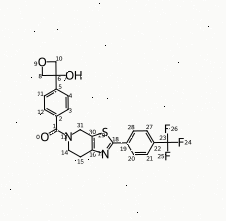 O=C(c1ccc(C2(O)COC2)cc1)N1CCc2nc(-c3ccc(C(F)(F)F)cc3)sc2C1